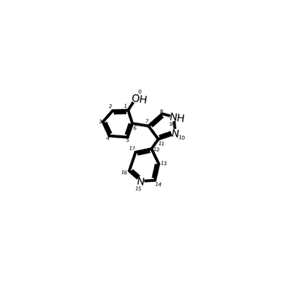 Oc1ccccc1-c1c[nH]nc1-c1ccncc1